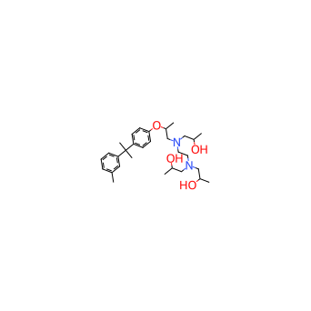 Cc1cccc(C(C)(C)c2ccc(OC(C)CN(CCN(CC(C)O)CC(C)O)CC(C)O)cc2)c1